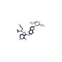 C[C@@H]1CN(c2ccc3cc(Nc4nn(C(CC#N)C5CC5)c5cc[nH]c(=O)c45)ccc3n2)[C@@H](C)CO1